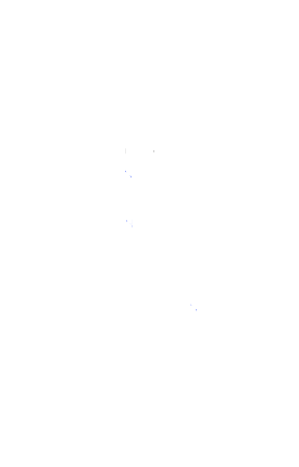 CCCCCCN1CCN(S(=O)(=O)c2cccc3cnccc23)CC1